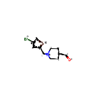 O=CC1CCN(Cc2cc(Br)cs2)CC1